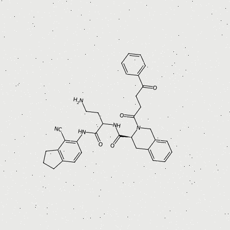 N#Cc1c(NC(=O)C(CCN)NC(=O)[C@@H]2Cc3ccccc3CN2C(=O)CCC(=O)c2ccccc2)ccc2c1CCC2